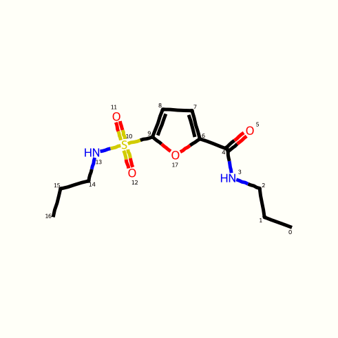 CCCNC(=O)c1ccc(S(=O)(=O)NCCC)o1